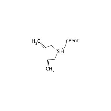 C=CC[SiH](CC=C)CCCCCC